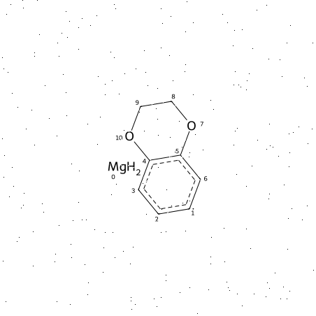 [MgH2].[c]1ccc2c(c1)OCCO2